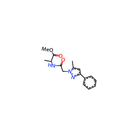 COC(=O)C(C)NC(=O)Cn1nc(-c2ccccc2)cc1C